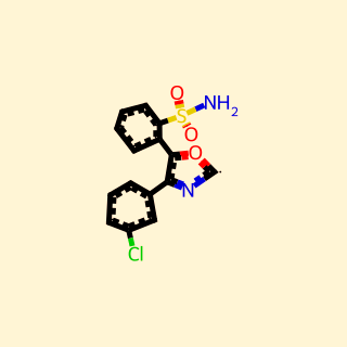 NS(=O)(=O)c1ccccc1-c1o[c]nc1-c1cccc(Cl)c1